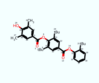 Cc1cc(C(=O)Oc2c(C(C)(C)C)cc(C(=O)Oc3ccccc3C(C)(C)C)cc2C(C)(C)C)cc(C)c1O